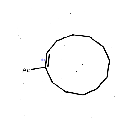 CC(=O)/C1=C/CCCCCCCCCC1